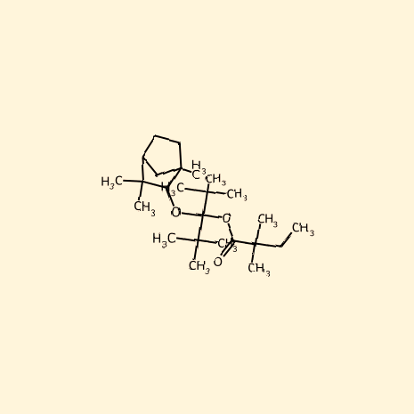 CCC(C)(C)C(=O)OC(OC1C2(C)CCC(C2)C1(C)C)(C(C)(C)C)C(C)(C)C